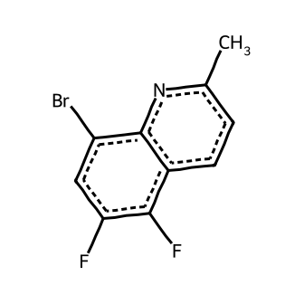 Cc1ccc2c(F)c(F)cc(Br)c2n1